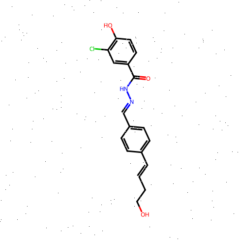 O=C(N/N=C/c1ccc(/C=C/CCO)cc1)c1ccc(O)c(Cl)c1